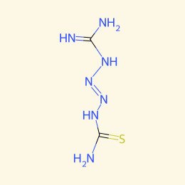 N=C(N)NN=NNC(N)=S